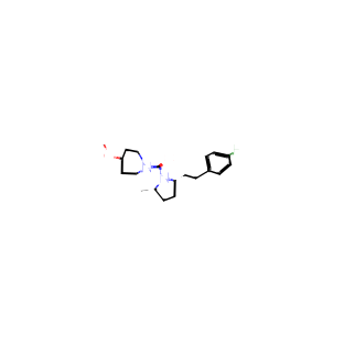 COC1CCN(C(=O)N2[C@@H](CCc3ccc(F)cc3)CC[C@H]2C)CC1